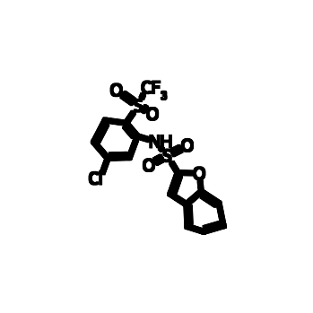 O=S(=O)(Nc1cc(Cl)ccc1S(=O)(=O)C(F)(F)F)c1cc2ccccc2o1